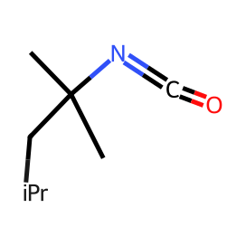 CC(C)CC(C)(C)N=C=O